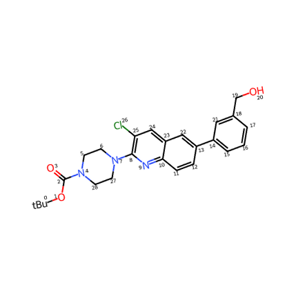 CC(C)(C)OC(=O)N1CCN(c2nc3ccc(-c4cccc(CO)c4)cc3cc2Cl)CC1